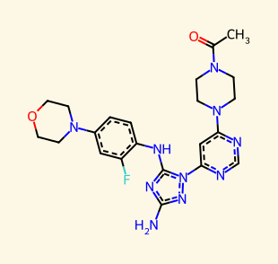 CC(=O)N1CCN(c2cc(-n3nc(N)nc3Nc3ccc(N4CCOCC4)cc3F)ncn2)CC1